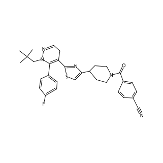 CC(C)(C)CN1N=CCC(c2nc(C3CCN(C(=O)c4ccc(C#N)cc4)CC3)cs2)=C1c1ccc(F)cc1